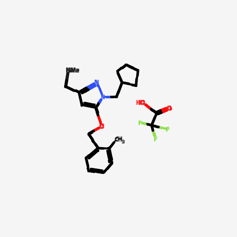 CNCc1cc(OCc2ccccc2C)n(CC2CCCC2)n1.O=C(O)C(F)(F)F